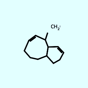 CC1C=CCCCC2CCC=CC12.[CH2]